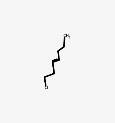 CCCC=CCCCl